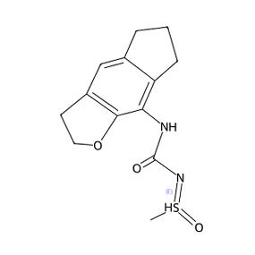 C/[SH](=O)=N\C(=O)Nc1c2c(cc3c1OCC3)CCC2